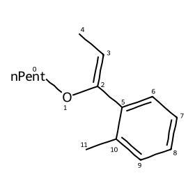 [CH2]CCCCOC(=CC)c1ccccc1C